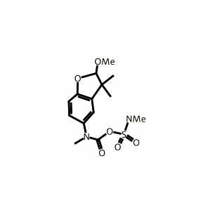 CNS(=O)(=O)OC(=O)N(C)c1ccc2c(c1)C(C)(C)C(OC)O2